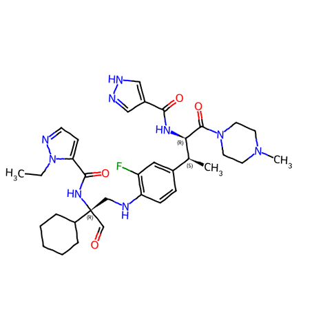 CCn1nccc1C(=O)N[C@@](C=O)(CNc1ccc([C@H](C)[C@@H](NC(=O)c2cn[nH]c2)C(=O)N2CCN(C)CC2)cc1F)C1CCCCC1